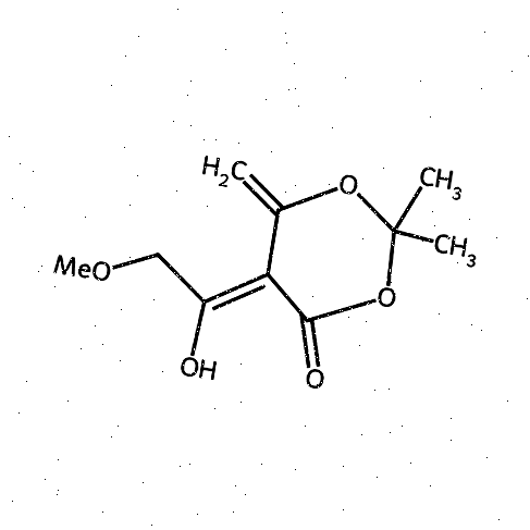 C=C1OC(C)(C)OC(=O)/C1=C(\O)COC